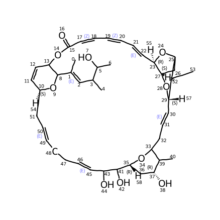 C/C(=C\C(C)C(C)O)C1O[C@@H]2C=CC1OC(=O)\C=C/C=C\C=C\[C@H]1OC3C[C@@H]1O[C@@H](/C=C/CC1O[C@H](C[C@@H](O)C1C)C(O)C(O)/C=C/CC/C=C/C2)C3C